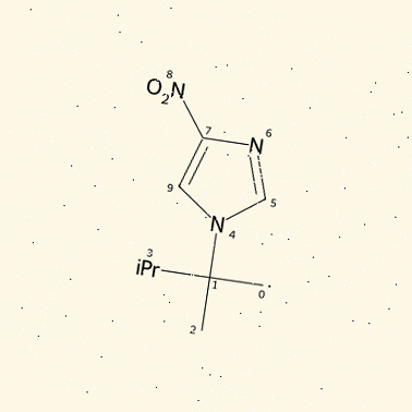 [CH2]C(C)(C(C)C)n1cnc([N+](=O)[O-])c1